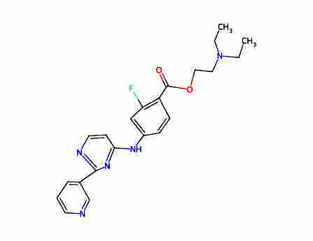 CCN(CC)CCOC(=O)c1ccc(Nc2ccnc(-c3cccnc3)n2)cc1F